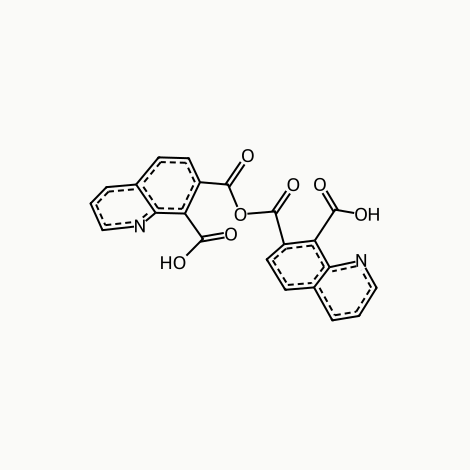 O=C(OC(=O)c1ccc2cccnc2c1C(=O)O)c1ccc2cccnc2c1C(=O)O